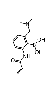 C=CC(=O)Nc1cccc(CN(C)C)c1B(O)O